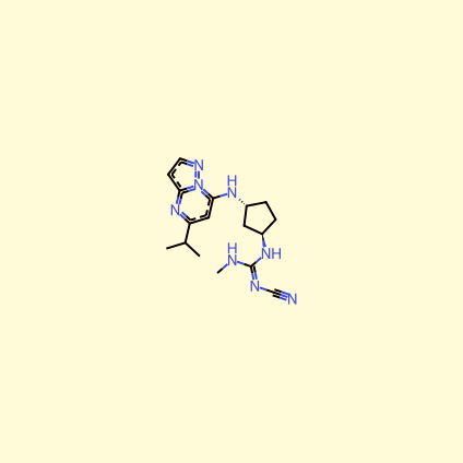 CN/C(=N/C#N)N[C@@H]1CC[C@@H](Nc2cc(C(C)C)nc3ccnn23)C1